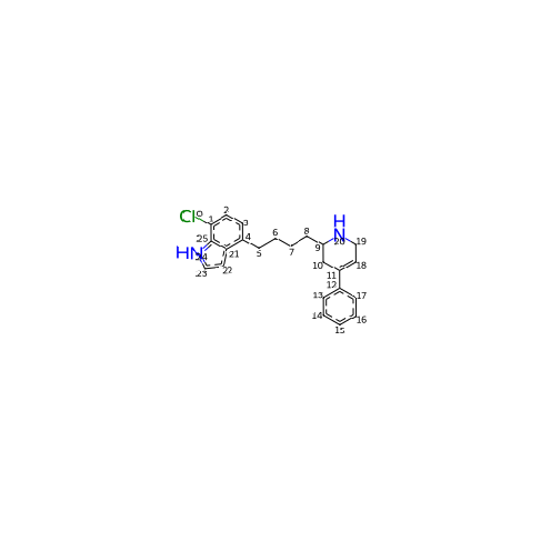 Clc1ccc(CCCCC2CC(c3ccccc3)=CCN2)c2cc[nH]c12